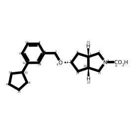 O=C(O)N1C[C@H]2C[C@@H](OCc3cccc(C4CCCC4)c3)C[C@H]2C1